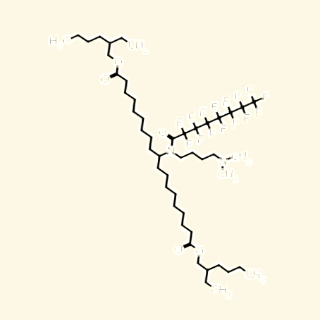 CCCCC(CC)COC(=O)CCCCCCCCC(CCCCCCCCC(=O)OCC(CC)CCCC)N(CCCCN(C)C)C(=O)C(F)(F)C(F)(F)C(F)(F)C(F)(F)C(F)(F)C(F)(F)C(F)(F)F